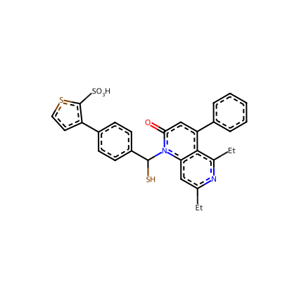 CCc1cc2c(c(-c3ccccc3)cc(=O)n2C(S)c2ccc(-c3ccsc3S(=O)(=O)O)cc2)c(CC)n1